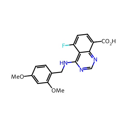 COc1ccc(CNc2ncnc3c(C(=O)O)ccc(F)c23)c(OC)c1